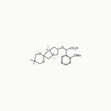 COc1ccccc1C(OC1C[C@@]2(C)CC3(C[C@@]2(C)C1)OCC(C)(C)CO3)C(=O)O